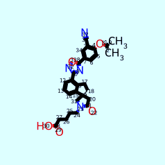 CC(C)Oc1ccc(-c2nc(-c3cccc4c3CC[C@@]43CC(=O)N(CCCCC(=O)O)C3)no2)cc1C#N